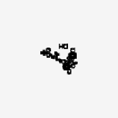 COc1ccc(OCCCN(CCOC(=O)C(C)(C)C)C(C)C)c(C2Sc3cc(Cl)ccc3N2C(C)=O)c1.Cl